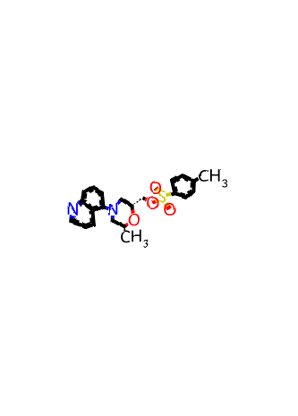 Cc1ccc(S(=O)(=O)OC[C@H]2CN(c3cccc4ncccc34)C[C@@H](C)O2)cc1